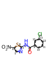 O=C(Nc1ncc([N+](=O)[O-])s1)c1cccc(Cl)c1